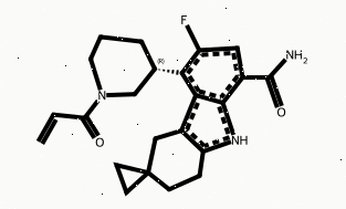 C=CC(=O)N1CCC[C@H](c2c(F)cc(C(N)=O)c3[nH]c4c(c23)CC2(CC4)CC2)C1